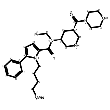 COCCCCn1c(C(=O)N(CC(C)C)[C@@H]2CNC[C@H](C(=O)N3CCOCC3)C2)ccc1-c1ccccc1